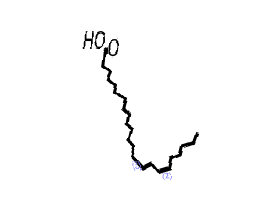 CCCCC/C=C\C/C=C\CCCCCCCCCCCCC(=O)O